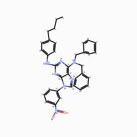 CCCCc1ccc(Nc2nc(N(Cc3ccccc3)Cc3ccccc3)c3ncn(-c4cccc([N+](=O)[O-])c4)c3n2)cc1